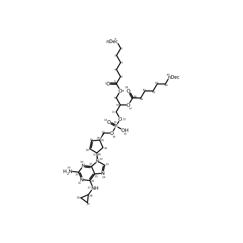 CCCCCCCCCCCCCCCC(=O)OCC(COP(=O)(O)OC[C@@H]1C=C[C@H](n2cnc3c(NC4CC4)nc(N)nc32)C1)OC(=O)CCCCCCCCCCCCCCC